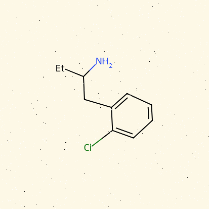 CCC(N)Cc1ccccc1Cl